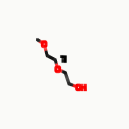 COCCOCCO.[Ti]